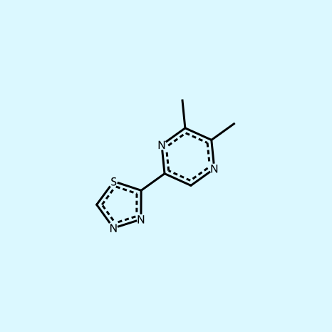 Cc1ncc(-c2nncs2)nc1C